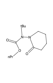 CCCOC(=O)N(N1CCCCC1=O)C(C)(C)C